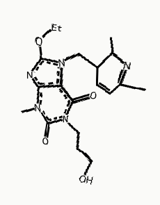 CCOc1nc2c(c(=O)n(CCCO)c(=O)n2C)n1CC1C=CC(C)=NC1C